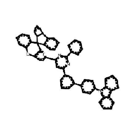 C1=CC2c3ccccc3C3(c4ccccc4Oc4ccc(-c5cc(-c6cccc(-c7ccc(-n8c9ccccc9c9ccccc98)cc7)c6)nc(-c6ccccc6)n5)cc43)C2C=C1